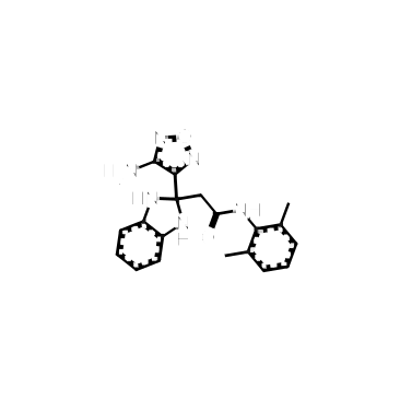 Cc1cccc(C)c1NC(=O)CC1(c2nonc2N)Nc2ccccc2N1